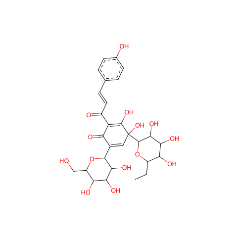 CCC1OC(C2(O)C=C(C3OC(CO)C(O)C(O)C3O)C(=O)C(C(=O)/C=C/c3ccc(O)cc3)=C2O)C(O)C(O)C1O